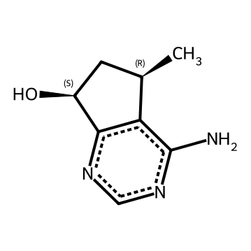 C[C@@H]1C[C@H](O)c2ncnc(N)c21